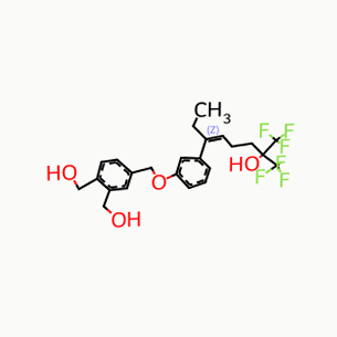 CC/C(=C/CCC(O)(C(F)(F)F)C(F)(F)F)c1cccc(OCc2ccc(CO)c(CO)c2)c1